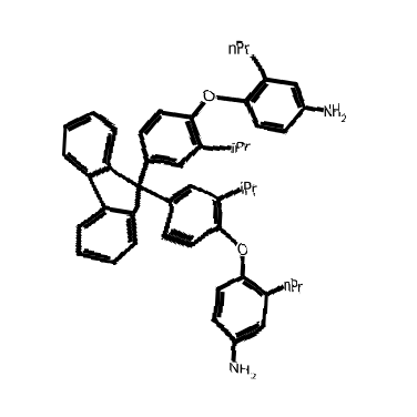 CCCc1cc(N)ccc1Oc1ccc(C2(c3ccc(Oc4ccc(N)cc4CCC)c(C(C)C)c3)c3ccccc3-c3ccccc32)cc1C(C)C